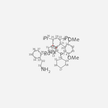 COc1ccc(OC)c(P(C2CCCCC2)C2CCCCC2)c1-c1c(C(C)C)cc(C(C)C)cc1C(C)C.NCCc1cccc[c]1[Pd]